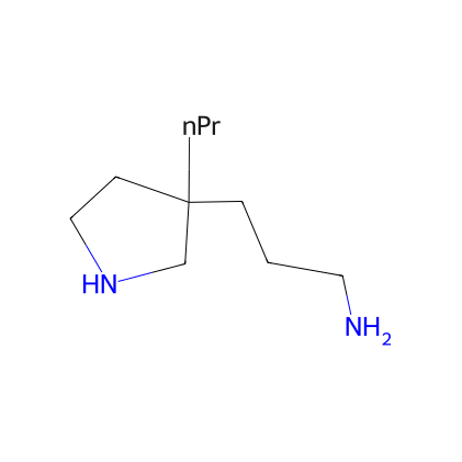 CCCC1(CCCN)CCNC1